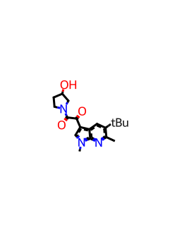 Cc1nc2c(cc1C(C)(C)C)c(C(=O)C(=O)N1CCC(O)C1)cn2C